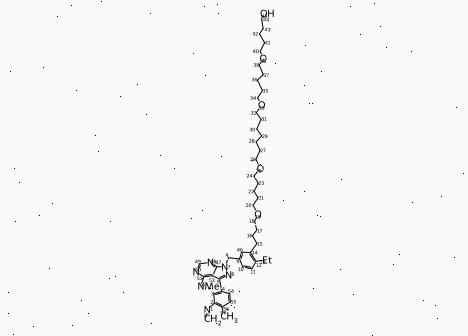 C=Nc1cc(-c2nn(Cc3ccc(CC)c(CCCCOCCCCCOCCCCCCCOCCCCCOCCCCCO)c3)c3ncnc(NC)c23)ccc1C